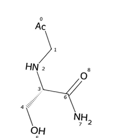 CC(=O)CN[C@@H](CO)C(N)=O